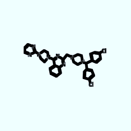 Clc1ccc(C(c2ccc(Cl)cc2)N2CCN(Cc3nc(N4CCN(c5ncccn5)CC4)c4ccccc4n3)CC2)cc1